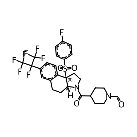 O=CN1CCC(C(=O)N2CC[C@@]3(S(=O)(=O)c4ccc(F)cc4)c4ccc(C(F)(C(F)(F)F)C(F)(F)F)cc4CC[C@@H]23)CC1